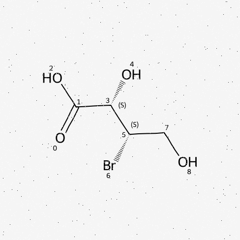 O=C(O)[C@H](O)[C@@H](Br)CO